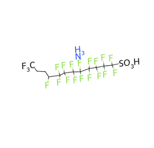 N.O=S(=O)(O)C(F)(F)C(F)(F)C(F)(F)C(F)(F)C(F)(F)C(F)(F)C(F)(F)C(F)(F)C(F)CCC(F)(F)F